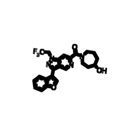 O=C(c1cc2c(cn1)c(-c1coc3ccccc13)nn2CC(F)(F)F)N1CCCC(O)CC1